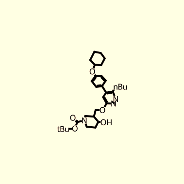 CCCCc1nnc(OCC2CN(C(=O)OC(C)(C)C)CCC2O)cc1-c1ccc(OC2CCCCC2)cc1